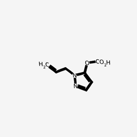 C=CCn1nccc1OC(=O)O